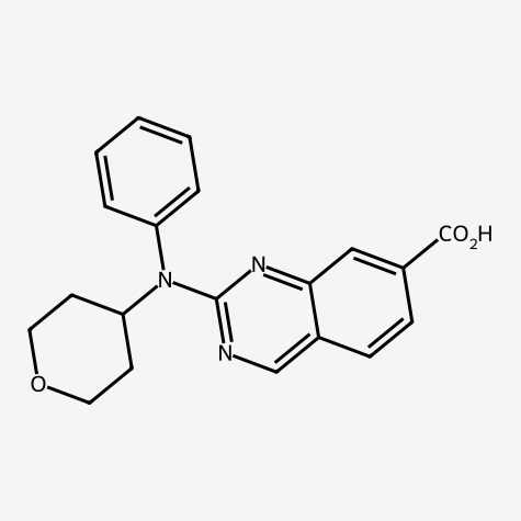 O=C(O)c1ccc2cnc(N(c3ccccc3)C3CCOCC3)nc2c1